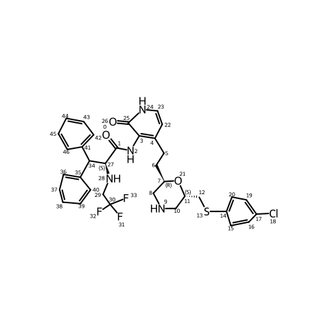 O=C(Nc1c(CC[C@@H]2CNC[C@@H](CSc3ccc(Cl)cc3)O2)cc[nH]c1=O)[C@@H](NCC(F)(F)F)C(c1ccccc1)c1ccccc1